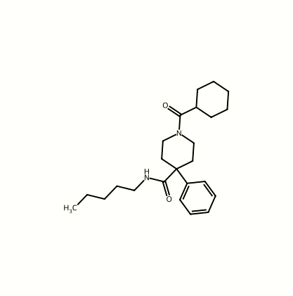 CCCCCNC(=O)C1(c2ccccc2)CCN(C(=O)C2CCCCC2)CC1